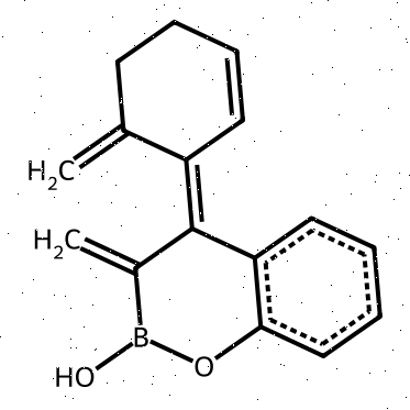 C=C1CCC=C/C1=C1/C(=C)B(O)Oc2ccccc21